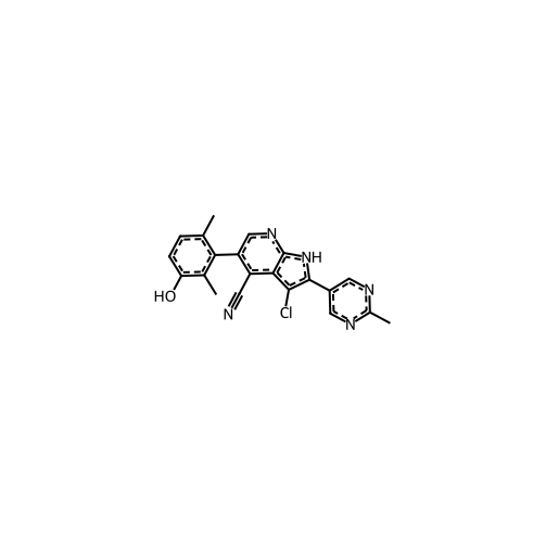 Cc1ncc(-c2[nH]c3ncc(-c4c(C)ccc(O)c4C)c(C#N)c3c2Cl)cn1